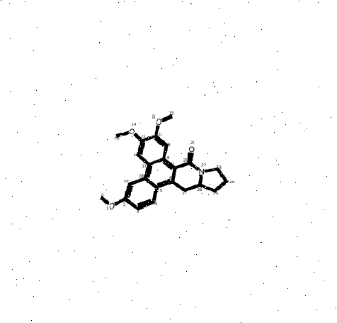 COc1ccc2c3c(c4cc(OC)c(OC)cc4c2c1)C(=O)N1CCCC1C3